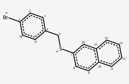 Brc1ccc(CSc2ccc3ccccc3c2)cc1